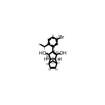 CCc1ccc(Br)cc1C1=C(O)[C@H]2C3C=CC(C3)[C@H]2C1O